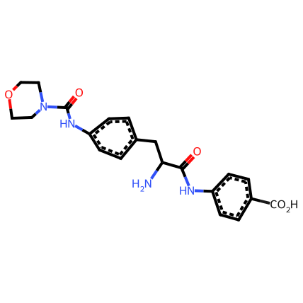 NC(Cc1ccc(NC(=O)N2CCOCC2)cc1)C(=O)Nc1ccc(C(=O)O)cc1